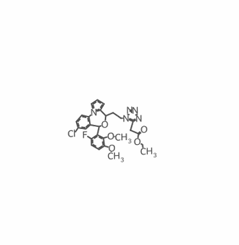 CCOC(=O)Cc1nnnn1CCC1OC(c2c(F)ccc(OC)c2OC)c2cc(Cl)ccc2-n2cccc21